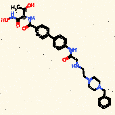 C[C@@H](O)[C@H](NC(=O)c1ccc(-c2ccc(NC(=O)CNCCN3CCN(Cc4ccccc4)CC3)cc2)cc1)C(=O)NO